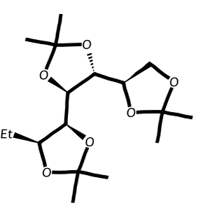 CC[C@@H]1OC(C)(C)O[C@@H]1[C@H]1OC(C)(C)O[C@@H]1[C@H]1COC(C)(C)O1